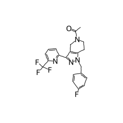 CC(=O)N1CCc2c(c(-c3cccc(C(F)(F)F)n3)nn2Cc2ccc(F)cc2)C1